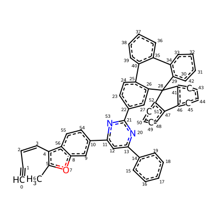 C#C/C=C\c1c(C)oc2cc(-c3cc(-c4ccccc4)nc(-c4ccc5c(c4)C4(c6ccccc6-c6ccccc6-5)c5ccccc5-c5ccccc54)n3)ccc12